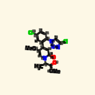 COC(=O)C(C)n1cc(OC)c(-c2cc(Cl)ccc2-n2cc(Cl)nn2)cc1=O